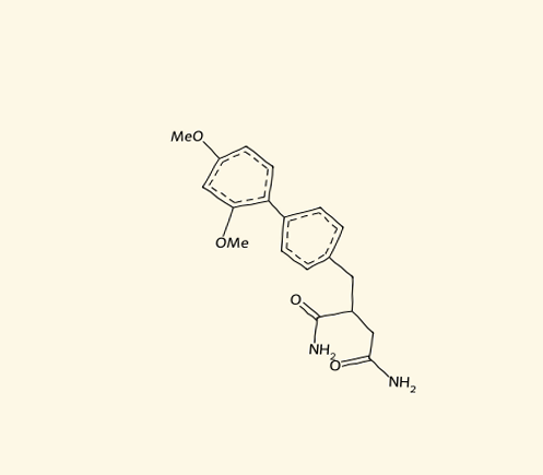 COc1ccc(-c2ccc(CC(CC(N)=O)C(N)=O)cc2)c(OC)c1